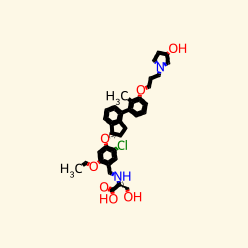 CCOc1cc(O[C@H]2CCc3c(-c4cccc(OCCCN5CCC(O)C5)c4C)cccc32)c(Cl)cc1CN[C@@H](CO)C(=O)O